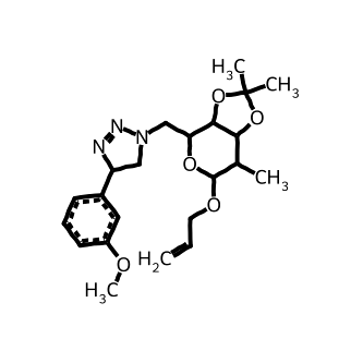 C=CCOC1OC(CN2CC(c3cccc(OC)c3)N=N2)C2OC(C)(C)OC2C1C